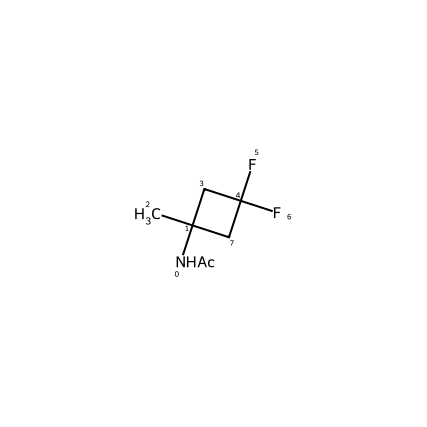 CC(=O)NC1(C)CC(F)(F)C1